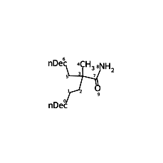 CCCCCCCCCCCCC(C)(CCCCCCCCCCC)C(N)=O